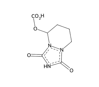 O=C(O)OC1CCCn2c(=O)[nH]c(=O)n21